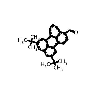 CC(C)(C)c1cc2cc(C(C)(C)C)cc3c4ccc(C=O)c5cccc(c(c1)c23)c54